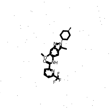 COc1cc2nn([C@H]3CC[C@H](C)CC3)c(C)c2cc1NC(=O)c1cccc(C(F)(F)F)n1